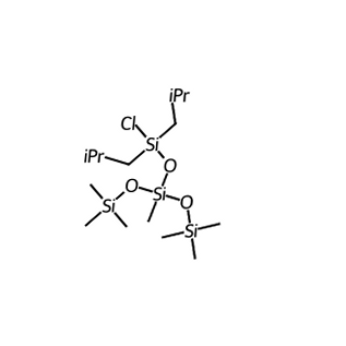 CC(C)C[Si](Cl)(CC(C)C)O[Si](C)(O[Si](C)(C)C)O[Si](C)(C)C